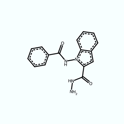 NNC(=O)c1cc2ccccc2n1NC(=O)c1ccccc1